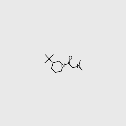 CN(C)CC(=O)N1CCC[C@@H](C(C)(C)C)C1